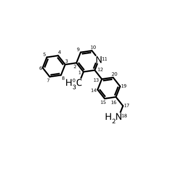 Cc1c(-c2ccccc2)ccnc1-c1ccc(CN)cc1